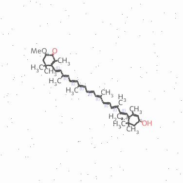 C=C[C@]1(/C=C/C(C)=C/C=C/C(C)=C/C=C/C=C(C)/C=C/C=C(C)/C=C/C2=C(C)C(=O)[C@@H](OC)CC2(C)C)C(C)=C[C@@H](O)CC1(C)C